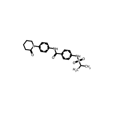 CC(C)S(=O)(=O)Nc1ccc(C(=O)Nc2ccc(N3CCCCC3=O)cc2)cc1